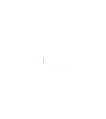 CBr.Nc1ccccc1